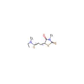 CCN1C(=O)/C(=C\C=C2/SCCN2CC)SC1=S